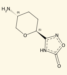 N[C@@H]1CC[C@@H](c2noc(=O)[nH]2)OC1